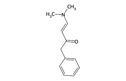 CN(C)/C=C/C(=O)Cc1ccccc1